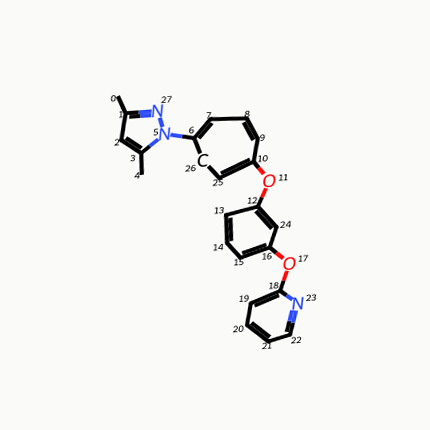 Cc1cc(C)n(C2=CC=CC(Oc3cccc(Oc4ccccn4)c3)=CC2)n1